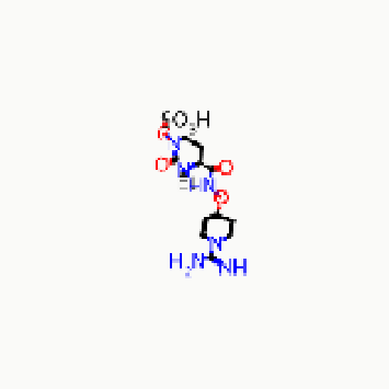 CCN1C(=O)N(OS(=O)(=O)O)CC[C@H]1C(=O)NOC1CCN(C(=N)N)CC1